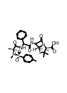 Cc1ccc(S(=O)(=O)N(C)[C@@H](C)C(=O)NC(C(=O)N[C@@H]2C(=O)N3[C@@H]2SC(C)(C)[C@@H]3C(=O)O)c2ccccc2)cc1